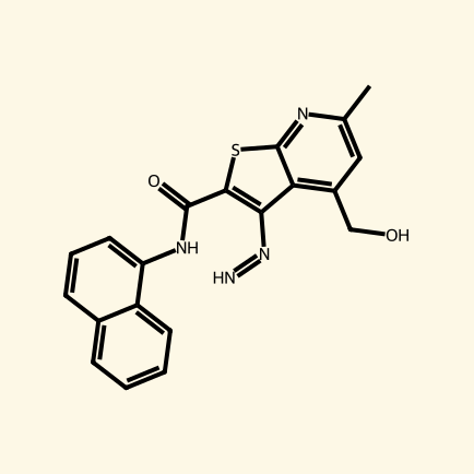 Cc1cc(CO)c2c(N=N)c(C(=O)Nc3cccc4ccccc34)sc2n1